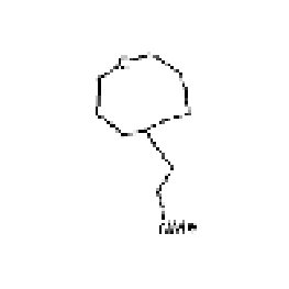 CNCCC1CCCCCCC1